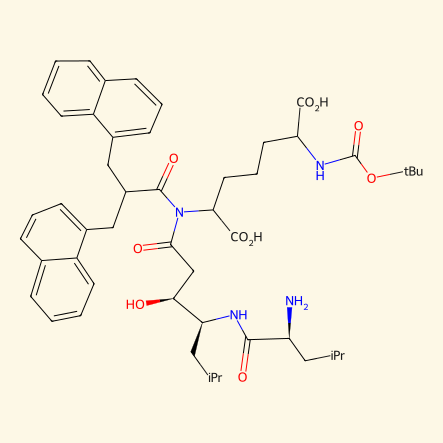 CC(C)C[C@H](NC(=O)[C@@H](N)CC(C)C)[C@@H](O)CC(=O)N(C(=O)C(Cc1cccc2ccccc12)Cc1cccc2ccccc12)C(CCCC(NC(=O)OC(C)(C)C)C(=O)O)C(=O)O